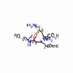 CCCCCCCCCCCCCC(=O)NC(C)C(=O)O.NCCCC[C@H](N)C(=O)O